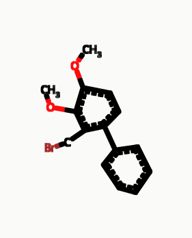 COc1ccc(-c2ccccc2)c(CBr)c1OC